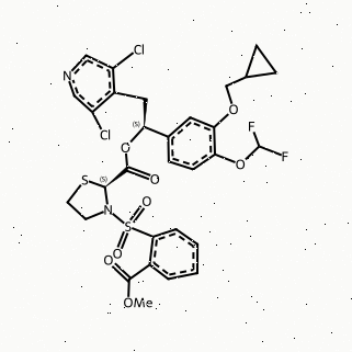 COC(=O)c1ccccc1S(=O)(=O)N1CCS[C@H]1C(=O)O[C@@H](Cc1c(Cl)cncc1Cl)c1ccc(OC(F)F)c(OCC2CC2)c1